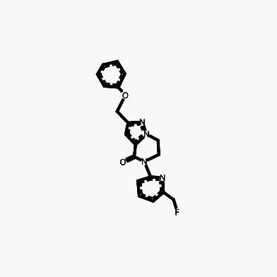 O=C1c2cc(COc3ccccc3)nn2CCN1c1cccc(CF)n1